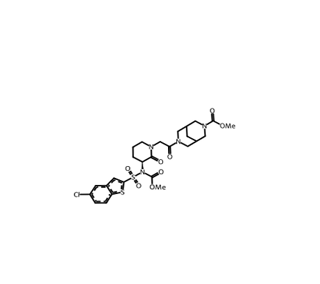 COC(=O)N1CC2CC(CN(C(=O)CN3CCC[C@H](N(C(=O)OC)S(=O)(=O)c4cc5cc(Cl)ccc5s4)C3=O)C2)C1